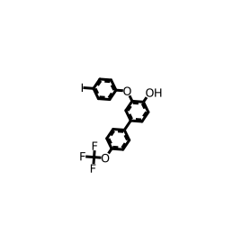 Oc1ccc(-c2ccc(OC(F)(F)F)cc2)cc1Oc1ccc(I)cc1